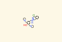 Oc1c(CN2CCCC2)cc(CNN2Cc3ccccc3C(Cl)=N2)cc1CN1CCCC1